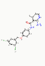 Cc1ccnc(N)c1C(=O)Nc1ccc(OCc2cc(F)cc(F)c2)cc1